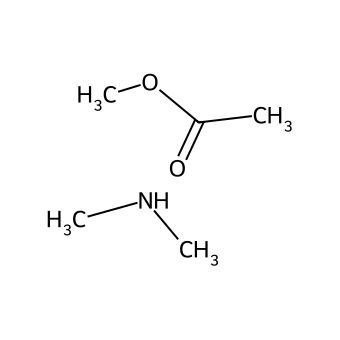 CNC.COC(C)=O